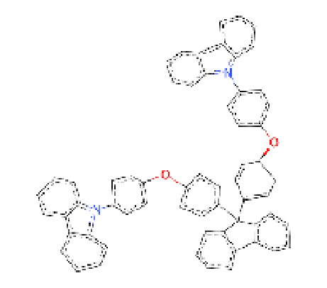 C1=C[C@@H](Oc2ccc(-n3c4ccccc4c4ccccc43)cc2)CC=C1C1(c2ccc(Oc3ccc(-n4c5ccccc5c5ccccc54)cc3)cc2)c2ccccc2-c2ccccc21